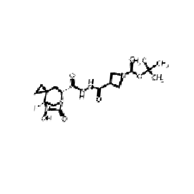 CC(C)(C)OC(=O)N1CC(C(=O)NNC(=O)[C@H]2CC3(CC3)[C@H]3CN2C(=O)N3O)C1